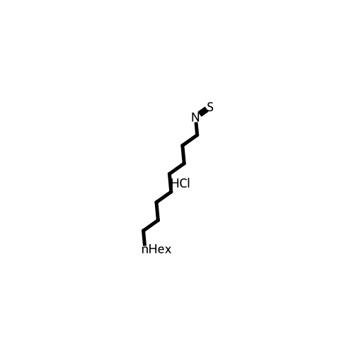 CCCCCCCCCCCCCCN=S.Cl